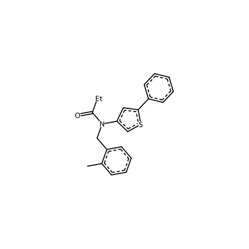 CCC(=O)N(Cc1ccccc1C)c1csc(-c2ccccc2)c1